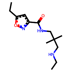 CCNCC(C)(C)CNC(=O)c1cc(CC)on1